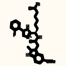 CCC(=O)CCCCC[C@H](NC(=O)Cc1c(C)[nH]c2ccc(OC)cc12)C1=[N+]C=C(c2ccccc2F)N1